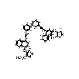 O=C(O)c1nn[nH]c1Oc1cc(C#Cc2cccc(-c3cccc(C#Cc4ccc(Oc5[nH]nnc5C(=O)O)c5ccccc45)c3)c2)c2ccccc2c1